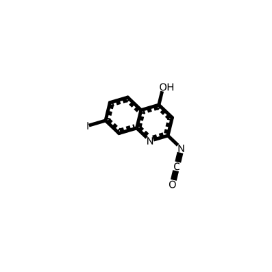 O=C=Nc1cc(O)c2ccc(I)cc2n1